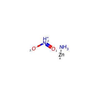 N.O=[NH+][O-].[Zn]